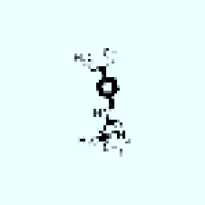 COC(OC)c1ccc(CNC(=O)OC(C)(C)C)cc1